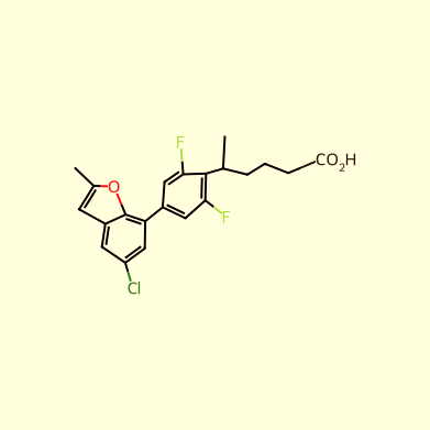 Cc1cc2cc(Cl)cc(-c3cc(F)c(C(C)CCCC(=O)O)c(F)c3)c2o1